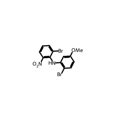 COc1ccc(Br)c(Nc2c(Br)cccc2[N+](=O)[O-])c1